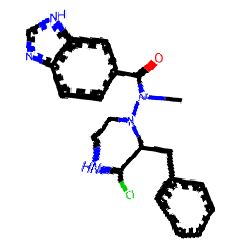 CN(C(=O)c1ccc2nc[nH]c2c1)N1CCNC(Cl)C1Cc1ccccc1